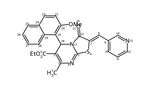 CCOC(=O)C1=C(C)N=c2s/c(=C\c3cccnc3)c(=O)n2C1c1c(OC)ccc2ccccc12